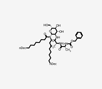 CCCCCCCCCCCCCCCCCCN(C(=O)CCCCCCCCCCCCCCCCC)[C@@H]1O[C@H](CO)[C@@H](O)[C@H](O)[C@H]1NC(=O)[C@@H](C)NC(=O)[C@@H](C)NC(=O)OCc1ccccc1